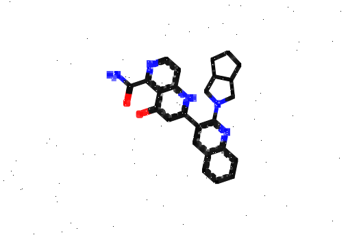 NC(=O)c1nccc2[nH]c(-c3cc4ccccc4nc3N3CC4CCCC4C3)cc(=O)c12